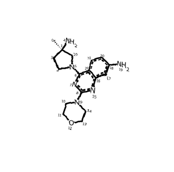 C[C@@]1(N)CCN(c2nc(N3CCOCC3)nc3cc(N)ccc23)C1